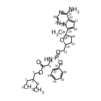 CCC(CC)COC(=O)CN[P@](OCC1CC[C@](C)(c2ccc3c(N)ncnn23)O1)Oc1ccccc1